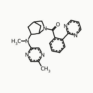 Cc1cnc(N(C)C2CC3CC2N(C(=O)c2ccccc2-c2ncccn2)C3)cn1